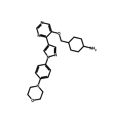 NC1CCC(COc2cncnc2-c2cnn(-c3ccc(N4CCOCC4)cc3)c2)CC1